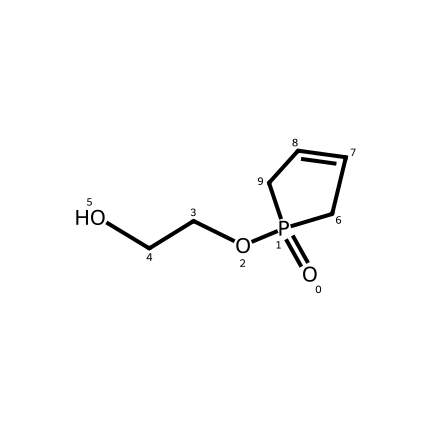 O=P1(OCCO)CC=CC1